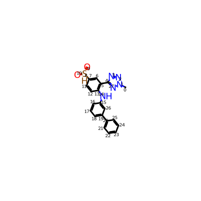 Cn1nnc(-c2cc([SH](=O)=O)ccc2Nc2cccc(-c3ccccc3)c2)n1